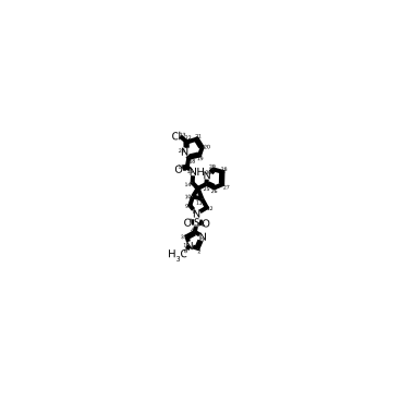 Cn1cnc(S(=O)(=O)N2CC3C(C2)C3(CNC(=O)c2cccc(Cl)n2)c2ccccn2)c1